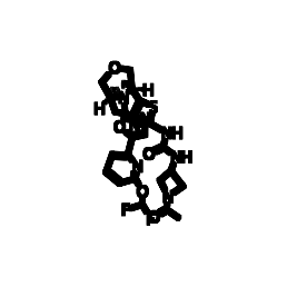 CC(=O)N1CC(NC(=O)Nc2nc3c(s2)[C@@H]2COC[C@H](C3)N2c2ncc(-c3cccc(OC(F)F)n3)o2)C1